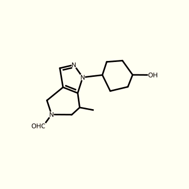 CC1CN(C=O)Cc2cnn(C3CCC(O)CC3)c21